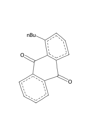 CCCCc1cccc2c1C(=O)c1ccccc1C2=O